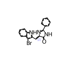 O=C1NC(c2ccccc2)=N/C1=C\c1[nH]c2ccccc2c1Br